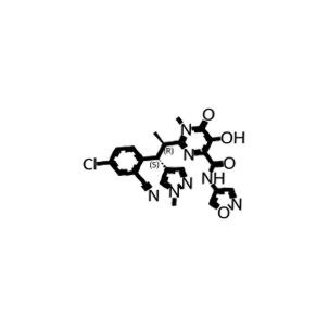 C[C@@H](c1nc(C(=O)Nc2cnoc2)c(O)c(=O)n1C)[C@H](c1cnn(C)c1)c1ccc(Cl)cc1C#N